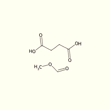 COC=O.O=C(O)CCC(=O)O